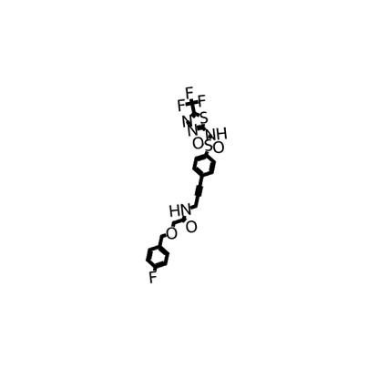 O=C(COCc1ccc(F)cc1)NCC#Cc1ccc(S(=O)(=O)Nc2nnc(C(F)(F)F)s2)cc1